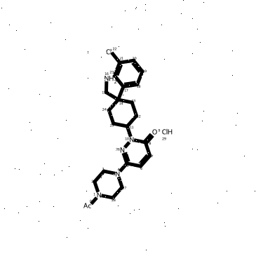 CC(=O)N1CCN(c2ccc(=O)n(C3CCC(CN)(c4cccc(Cl)c4)CC3)n2)CC1.Cl